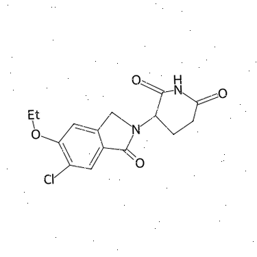 CCOc1cc2c(cc1Cl)C(=O)N(C1CCC(=O)NC1=O)C2